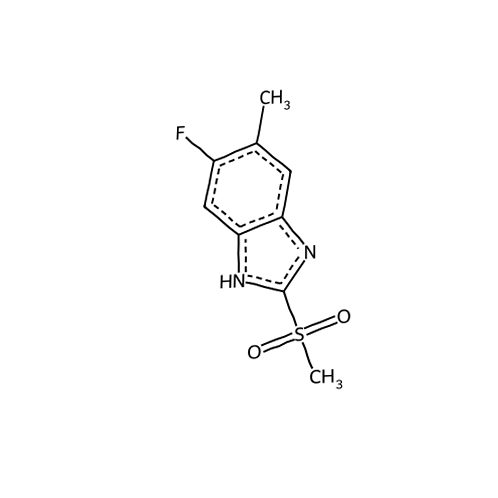 Cc1cc2nc(S(C)(=O)=O)[nH]c2cc1F